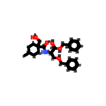 CC1CCC(CO)(C(=O)NC(COCc2ccccc2)C(=O)OCc2ccccc2)CC1